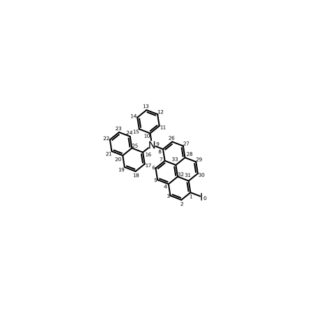 Ic1ccc2ccc3c(N(c4ccccc4)c4cccc5ccccc45)ccc4ccc1c2c43